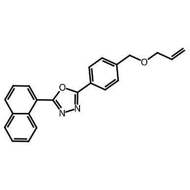 C=CCOCc1ccc(-c2nnc(-c3cccc4ccccc34)o2)cc1